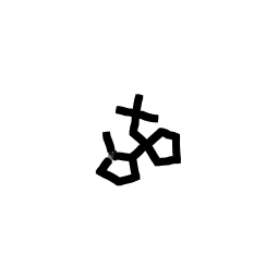 CN1CCCC1C1(CC(C)(C)C)CCCC1